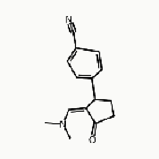 CN(C)C=C1C(=O)CCC1c1ccc(C#N)cc1